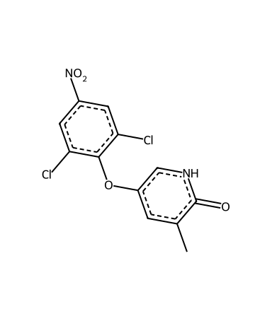 Cc1cc(Oc2c(Cl)cc([N+](=O)[O-])cc2Cl)c[nH]c1=O